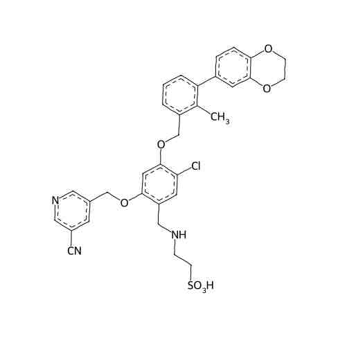 Cc1c(COc2cc(OCc3cncc(C#N)c3)c(CNCCS(=O)(=O)O)cc2Cl)cccc1-c1ccc2c(c1)OCCO2